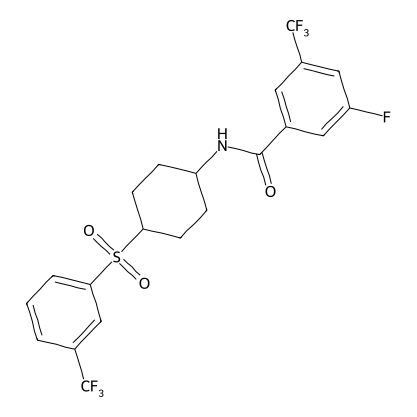 O=C(NC1CCC(S(=O)(=O)c2cccc(C(F)(F)F)c2)CC1)c1cc(F)cc(C(F)(F)F)c1